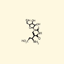 NC(CC(=O)O)c1cn([C@H]2O[C@@H](CO)C(O)C2O)c(=S)[nH]c1=O